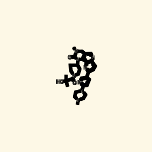 CN1CCN(c2ccc(-c3ccc4ncc5c(c4n3)N(C3CCN(C(=O)C(C)(C)O)CC3)C(=O)N(C)C5)cn2)CC1